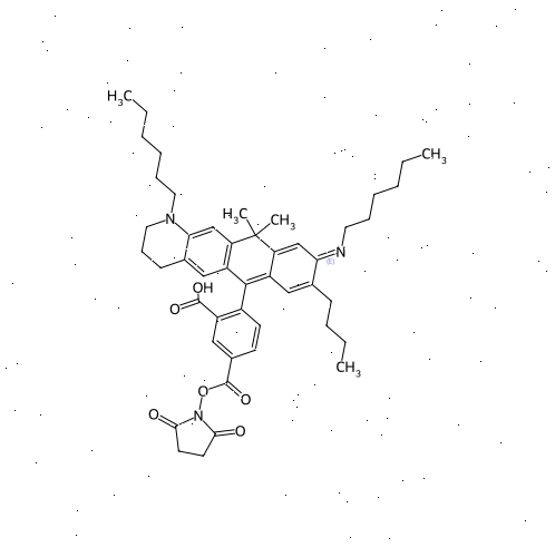 CCCCCC/N=C1\C=C2C(=C(c3ccc(C(=O)ON4C(=O)CCC4=O)cc3C(=O)O)c3cc4c(cc3C2(C)C)N(CCCCCC)CCC4)C=C1CCCC